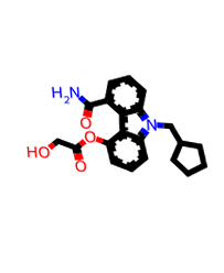 NC(=O)c1cccc2c1c1c(OC(=O)CO)cccc1n2CC1CCCC1